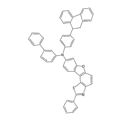 c1ccc(-c2cccc(N(c3ccc(C4Cc5ccccc5-c5ccccc54)cc3)c3ccc4c(c3)oc3ccc5nc(-c6ccccc6)sc5c34)c2)cc1